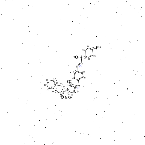 O=C(/C=C/c1ccc(/C=C2/N[C@H](S)N([C@@H](Cc3ccccc3)C(=O)O)[S+]2[O-])cc1)c1ccc(F)cc1